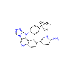 CC(C)(C#N)c1ccc(-n2c3c4cc(-c5ccc(N)nc5)ccc4ncc3n3cnnc23)cc1